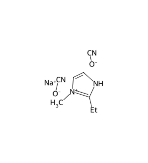 CCc1[nH]cc[n+]1C.N#C[O-].N#C[O-].[Na+]